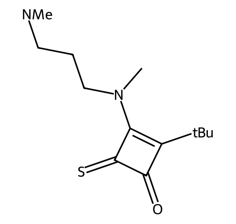 CNCCCN(C)c1c(C(C)(C)C)c(=O)c1=S